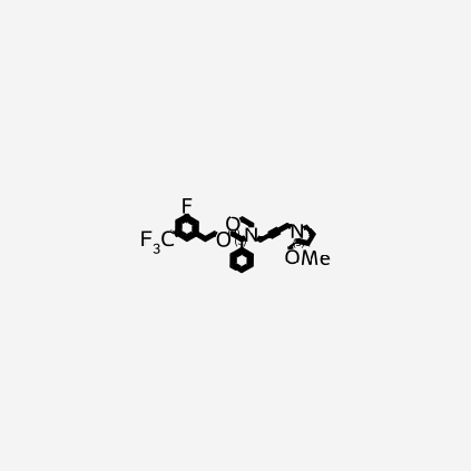 COC[C@@H]1CCCN1CC#CCN1CCO[C@@H](OCCc2cc(F)cc(C(F)(F)F)c2)[C@@H]1c1ccccc1